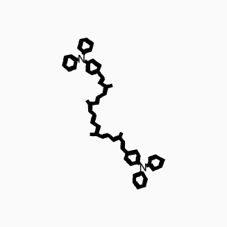 CC(C=CC=C(C)C=Cc1ccc(N(c2ccccc2)c2ccccc2)cc1)=CC=CC=C(C)C=CC=C(C)C=Cc1ccc(N(c2ccccc2)c2ccccc2)cc1